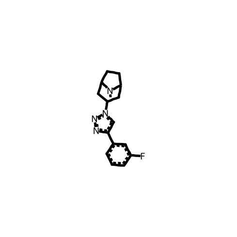 CN1C2CCC1CC(n1cc(-c3cccc(F)c3)nn1)C2